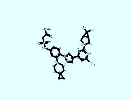 COC(=O)CS(=O)(=O)Nc1ccc(-n2cc(-c3cc(C)nc(N4CC5C(C4)C5(F)F)n3)cn2)c(N2CCC3(CC2)CC3)c1